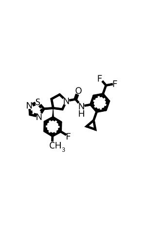 Cc1ccc([C@@]2(c3ncns3)CCN(C(=O)Nc3cc(C(F)F)ccc3C3CC3)C2)cc1F